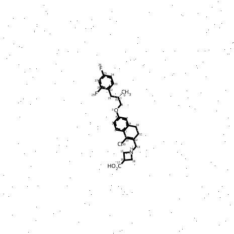 C[C@H](COc1ccc2c(c1)CCC(CN1CC(C(=O)O)C1)=C2Cl)Cc1ccc(F)cc1F